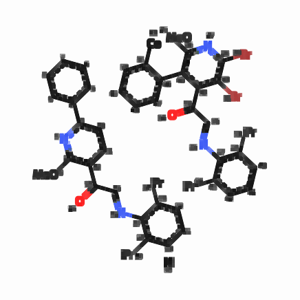 COc1nc(-c2ccccc2)ccc1C(=O)C=Nc1c(C(C)C)cccc1C(C)C.COc1nc(Br)c(Br)c(C(=O)C=Nc2c(C(C)C)cccc2C(C)C)c1-c1cccc[c]1[Co].[Ni]